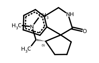 CC([C@H]1CCCC12C(=O)NCc1ccccc12)N(C)C